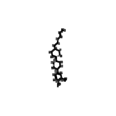 FC=CCCC[C@H]1CC[C@H]([C@H]2CC[C@H](c3ccc(F)c(F)c3)CC2)CC1